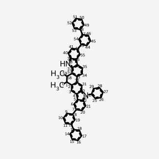 CC1c2cc3c4cc(-c5cccc(-c6ccccc6)c5)ccc4n(-c4ccccc4)c3cc2-c2ccc3c([nH]c4ccc(-c5cccc(-c6ccccc6)c5)cc43)c2C1C